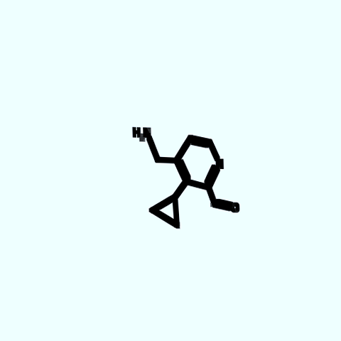 NCc1ccnc([C]=O)c1C1CC1